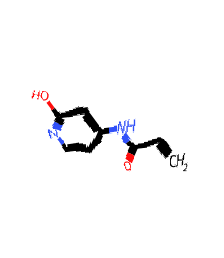 C=CC(=O)Nc1ccnc(O)c1